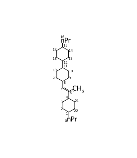 CCCC1CCC(C(C)=CC2CCC(C3CCC(CCC)CC3)CC2)CC1